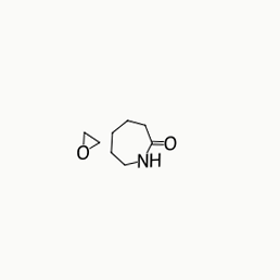 C1CO1.O=C1CCCCCN1